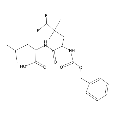 CC(C)CC(NC(=O)C(CC(C)(C)C(F)F)NC(=O)OCc1ccccc1)C(=O)O